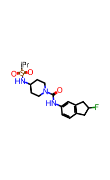 CC(C)S(=O)(=O)NC1CCN(C(=O)Nc2ccc3c(c2)CC(F)C3)CC1